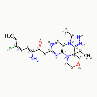 C=C/C(F)=C\C=C(/N)C(=O)Cc1ncc2c(n1)N1CCOCC1(CC)c1nnc(C)n1-2